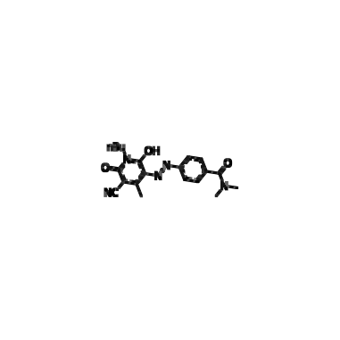 CCCCn1c(O)c(/N=N/c2ccc(C(=O)N(C)C)cc2)c(C)c(C#N)c1=O